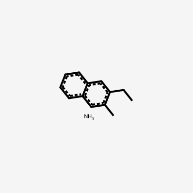 CCc1cc2ccccc2cc1C.N